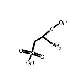 NC(CO)CS(=O)(=O)O